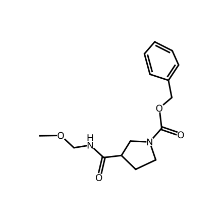 COCNC(=O)C1CCN(C(=O)OCc2ccccc2)C1